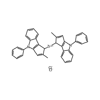 CC1=Cc2c(c3ccccc3n2-c2ccccc2)[CH]1[Zr+2][CH]1C(C)=Cc2c1c1ccccc1n2-c1ccccc1.[Cl-].[Cl-]